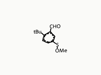 COSc1ccc(C(C)(C)C)c(C=O)c1